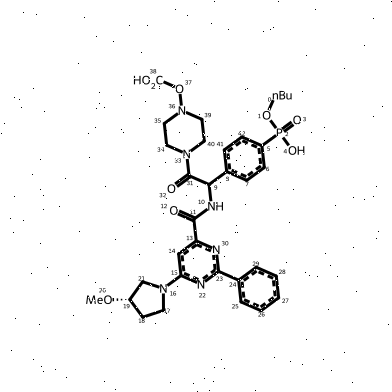 CCCCOP(=O)(O)c1ccc(C(NC(=O)c2cc(N3CC[C@H](OC)C3)nc(-c3ccccc3)n2)C(=O)N2CCN(OC(=O)O)CC2)cc1